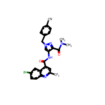 CN(C)C(=O)c1nn(Cc2ccc(C#N)cc2)cc1NC(=O)c1cc(C(F)(F)F)nc2ccc(Br)cc12